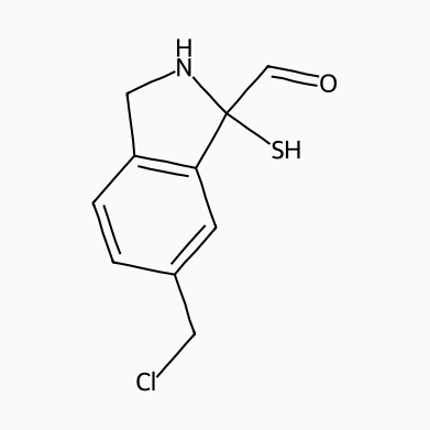 O=CC1(S)NCc2ccc(CCl)cc21